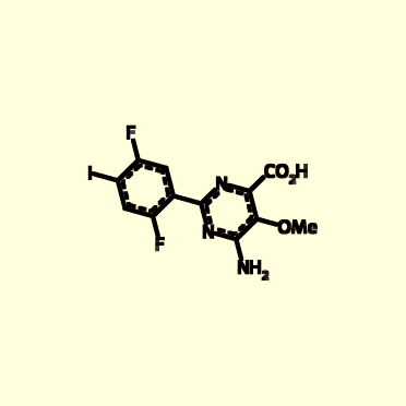 COc1c(N)nc(-c2cc(F)c(I)cc2F)nc1C(=O)O